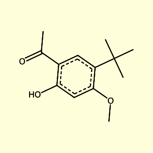 COc1cc(O)c(C(C)=O)cc1C(C)(C)C